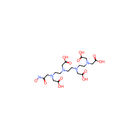 O=NC(=O)CN(CCN(CCN(CCN(CC(=O)O)CC(=O)O)CC(=O)O)CC(=O)O)CC(=O)O